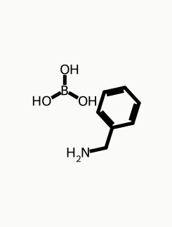 NCc1ccccc1.OB(O)O